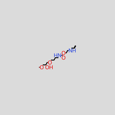 C=CCNCCOC(=O)NCCCCOCC(O)COC